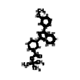 COc1cccc(-c2nc([C@@H]3CCCN(C(=O)OC(C)(C)C)C3)n3ccccc23)c1